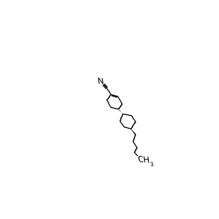 CCCCC[C@H]1CC[C@H](C2CC=C(C#N)CC2)CC1